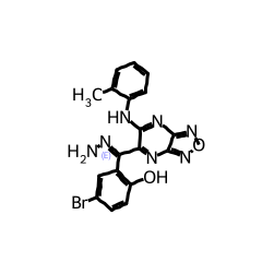 Cc1ccccc1Nc1nc2nonc2nc1/C(=N/N)c1cc(Br)ccc1O